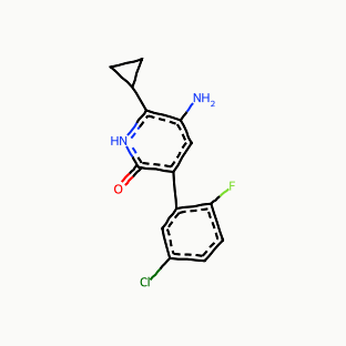 Nc1cc(-c2cc(Cl)ccc2F)c(=O)[nH]c1C1CC1